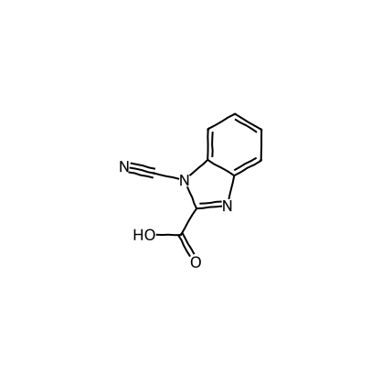 N#Cn1c(C(=O)O)nc2ccccc21